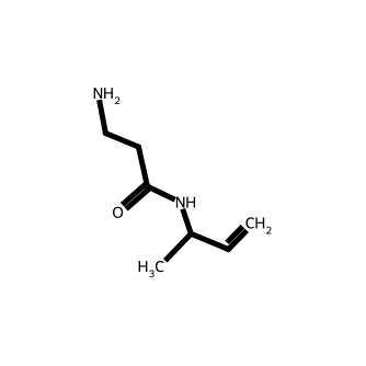 C=CC(C)NC(=O)CCN